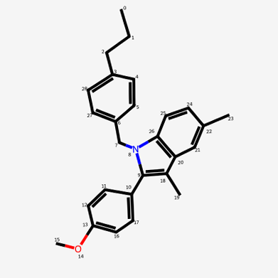 CCCc1ccc(Cn2c(-c3ccc(OC)cc3)c(C)c3cc(C)ccc32)cc1